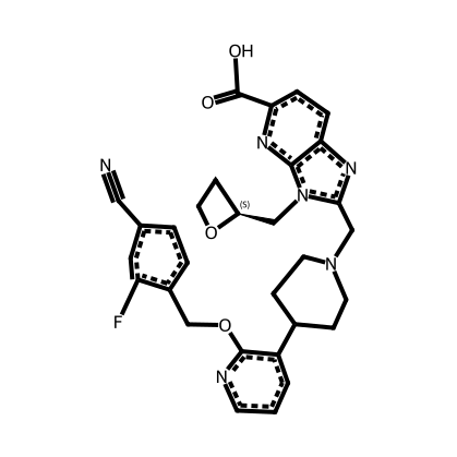 N#Cc1ccc(COc2ncccc2C2CCN(Cc3nc4ccc(C(=O)O)nc4n3C[C@@H]3CCO3)CC2)c(F)c1